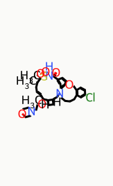 C[C@@H]1[C@@H](C)C/C=C/[C@](C)(OCCN2CCOCC2)[C@@H]2CC[C@H]2CN2CCCCc3cc(Cl)ccc3COc3ccc(cc32)C(=O)NS1(=O)=O